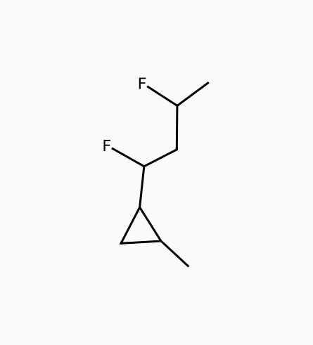 CC(F)CC(F)C1CC1C